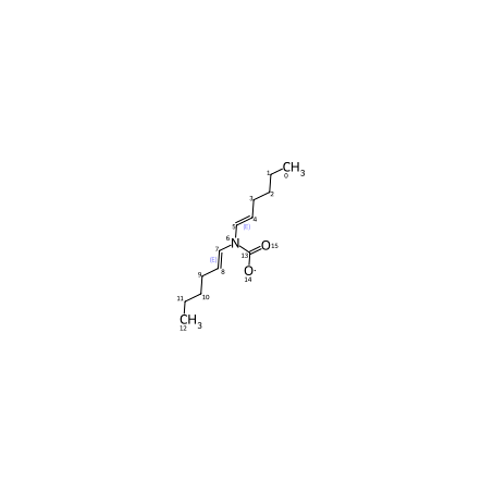 CCCC/C=C/N(/C=C/CCCC)C([O])=O